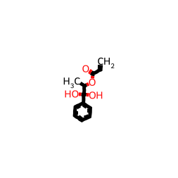 C=CC(=O)OC(C)C(O)(O)c1ccccc1